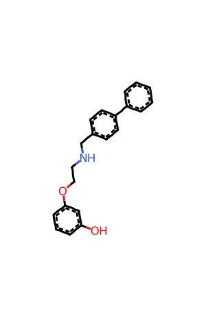 Oc1cccc(OCCNCc2ccc(-c3ccccc3)cc2)c1